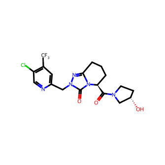 O=C([C@@H]1CCCc2nn(Cc3cc(C(F)(F)F)c(Cl)cn3)c(=O)n21)N1CC[C@H](O)C1